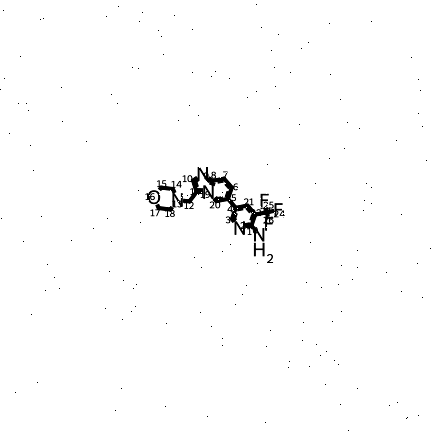 Nc1ncc(-c2ccc3ncc(CN4CCOCC4)n3c2)cc1C(F)(F)F